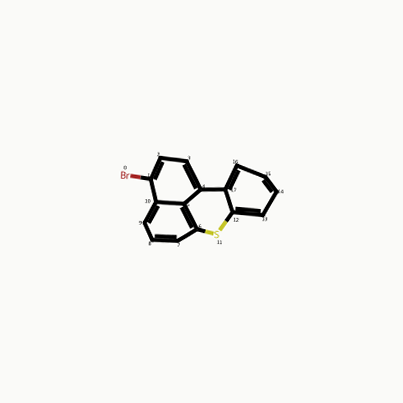 Brc1ccc2c3c(cccc13)Sc1ccccc1-2